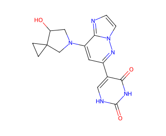 O=c1[nH]cc(-c2cc(N3CC(O)C4(CC4)C3)c3nccn3n2)c(=O)[nH]1